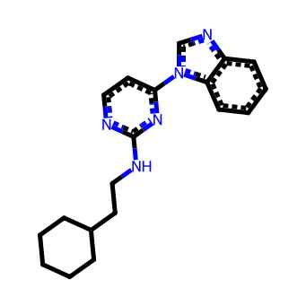 c1ccc2c(c1)ncn2-c1ccnc(NCCC2CCCCC2)n1